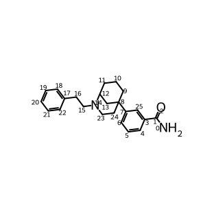 NC(=O)c1cccc(C23CCCC(C2)N(CCc2ccccc2)CC3)c1